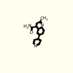 Cc1cc(C(N)=O)c2cc(-c3ccncc3)ccc2n1